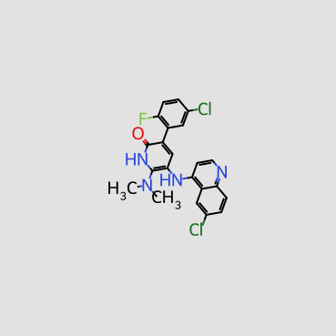 CN(C)c1[nH]c(=O)c(-c2cc(Cl)ccc2F)cc1Nc1ccnc2ccc(Cl)cc12